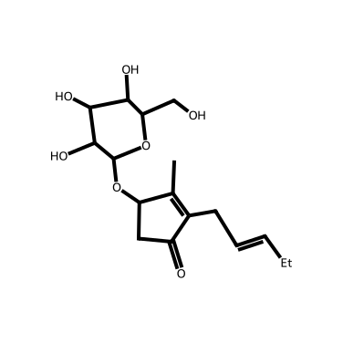 CC/C=C/CC1=C(C)C(OC2OC(CO)C(O)C(O)C2O)CC1=O